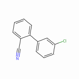 N#Cc1ccccc1-c1cc[c]c(Cl)c1